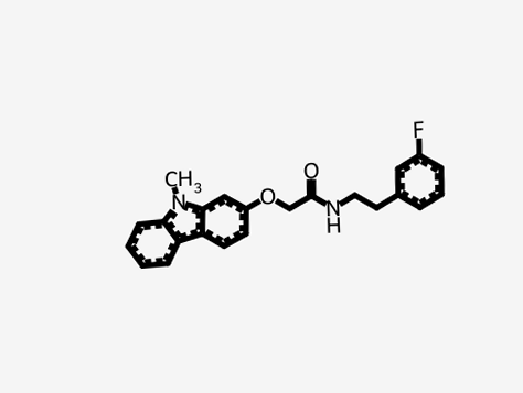 Cn1c2ccccc2c2ccc(OCC(=O)NCCc3cccc(F)c3)cc21